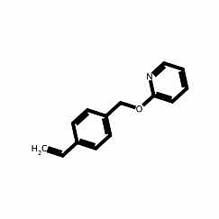 C=Cc1ccc(COc2ccccn2)cc1